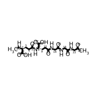 CN[C@@H](CCC(=O)N[C@@H](CCC(=O)NCC(=O)NCC(=O)NCC(C)=O)C(=O)O)C(=O)O